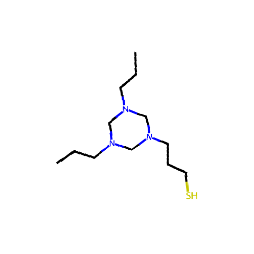 CCCN1CN(CCC)CN(CCCS)C1